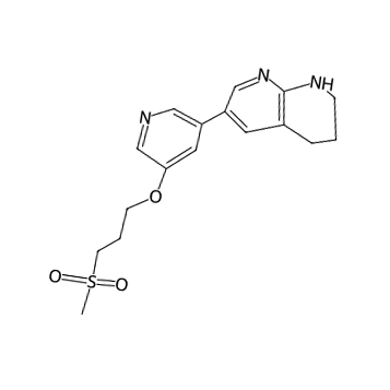 CS(=O)(=O)CCCOc1cncc(-c2cnc3c(c2)CCCN3)c1